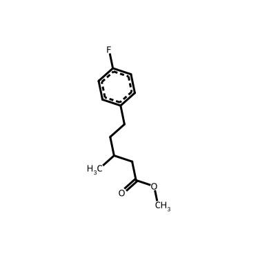 COC(=O)CC(C)CCc1ccc(F)cc1